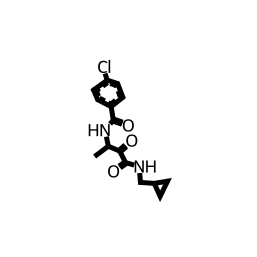 CC(NC(=O)c1ccc(Cl)cc1)C(=O)C(=O)NCC1CC1